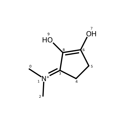 C[N+](C)=C1CCC(O)=C1O